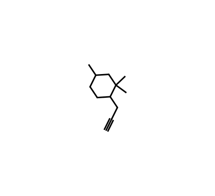 C#CCC1CCC(C)CC1(C)C